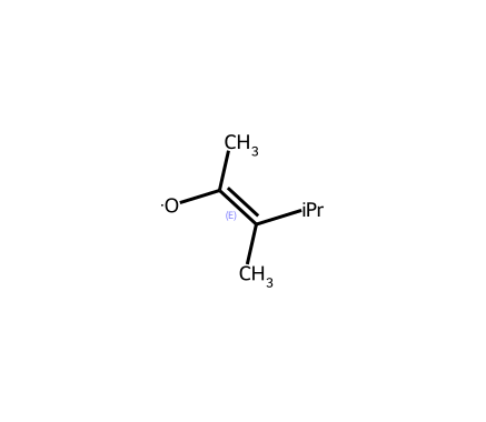 C/C([O])=C(/C)C(C)C